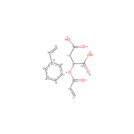 C=CC(=O)OC(CC(=O)O)C(=O)O.C=Cc1ccccc1